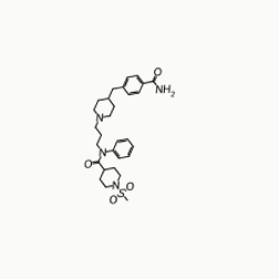 CS(=O)(=O)N1CCC(C(=O)N(CCCN2CCC(Cc3ccc(C(N)=O)cc3)CC2)c2ccccc2)CC1